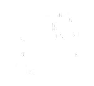 CC(C)(C)OC(=O)N1CCN(Cc2ccc(C(=O)Nc3nonc3C(=N)Nc3ccc(F)c(Br)c3)cc2)CC1